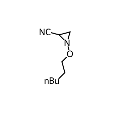 CCCCCCON1CC1C#N